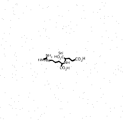 N=C(N)NCCCC(NC(CCC(=O)O)C(=O)O)C(=O)O.[Sn]